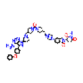 Nc1ncnc2c1c(-c1ccc(Oc3ccccc3)cc1)nn2[C@@H]1CCCN(CC2CCN(C(=O)N3CCC(CCN4CCN(c5ccc6c(c5)CN(C5CCC(=O)NC5=O)C6=O)CC4)CC3)CC2)C1